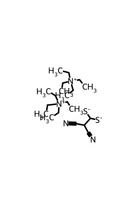 CC[N+](CC)(CC)CC.CC[N+](CC)(CC)CC.N#CC(C#N)C([S-])[S-]